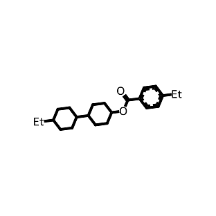 CCc1ccc(C(=O)OC2CCC(C3CCC(CC)CC3)CC2)cc1